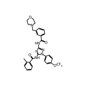 Cc1ccccc1C(=O)Nc1nc(NC(=O)c2cccc(CN3CCOCC3)c2)nn1-c1ccc(OC(F)(F)F)cc1